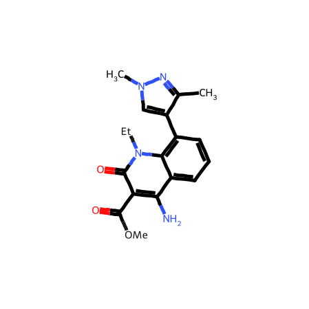 CCn1c(=O)c(C(=O)OC)c(N)c2cccc(-c3cn(C)nc3C)c21